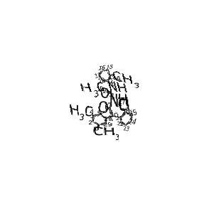 Cc1cc(C)c2oc(NC(=O)Nc3c(C)cccc3C)c(-c3ccccc3Cl)c2c1